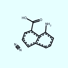 N#N.Nc1cccc2cccc(C(=O)O)c12